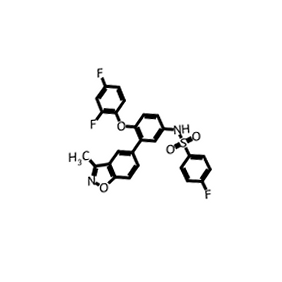 Cc1noc2ccc(-c3cc(NS(=O)(=O)c4ccc(F)cc4)ccc3Oc3ccc(F)cc3F)cc12